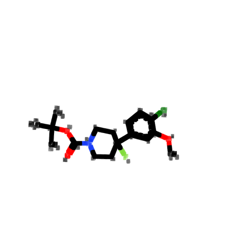 COc1cc(C2(F)CCN(C(=O)OC(C)(C)C)CC2)ccc1Cl